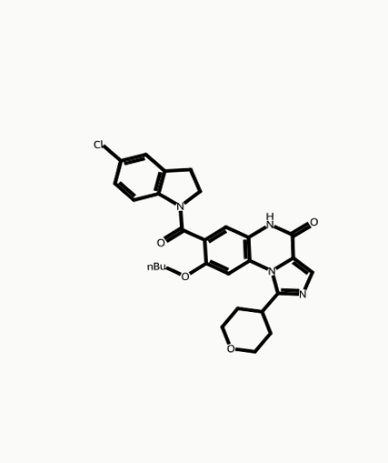 CCCCOc1cc2c(cc1C(=O)N1CCc3cc(Cl)ccc31)[nH]c(=O)c1cnc(C3CCOCC3)n12